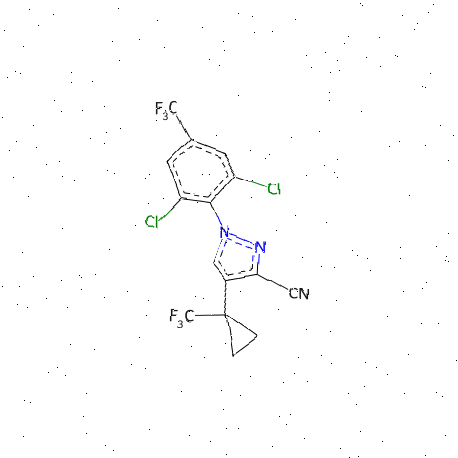 N#Cc1nn(-c2c(Cl)cc(C(F)(F)F)cc2Cl)cc1C1(C(F)(F)F)CC1